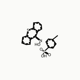 Cc1ccc(S(=O)(=O)O)cc1.ON=c1c2ccccc2sc2ccccc12